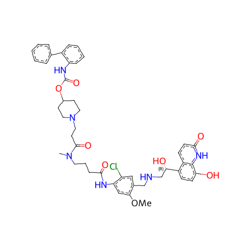 COc1cc(NC(=O)CCCN(C)C(=O)CCN2CCC(OC(=O)Nc3ccccc3-c3ccccc3)CC2)c(Cl)cc1CNC[C@H](O)c1ccc(O)c2[nH]c(=O)ccc12